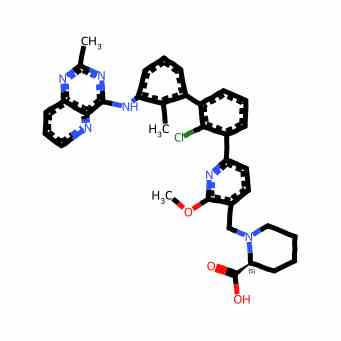 COc1nc(-c2cccc(-c3cccc(Nc4nc(C)nc5cccnc45)c3C)c2Cl)ccc1CN1CCCC[C@H]1C(=O)O